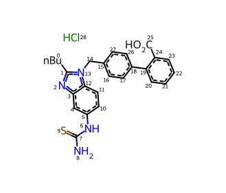 CCCCc1nc2cc(NC(N)=S)ccc2n1Cc1ccc(-c2ccccc2C(=O)O)cc1.Cl